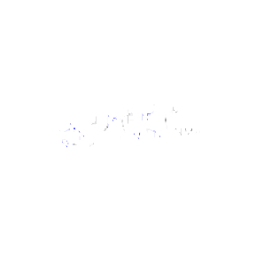 CNc1nc(Nc2sc(C(C)(C)n3cncn3)nc2C)ncc1C(F)(F)F